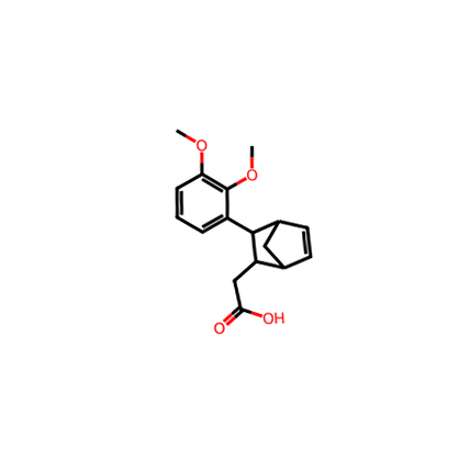 COc1cccc(C2C3C=CC(C3)C2CC(=O)O)c1OC